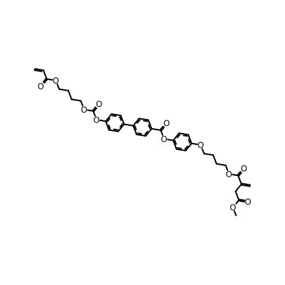 C=CC(=O)OCCCCOC(=O)Oc1ccc(-c2ccc(C(=O)Oc3ccc(OCCCCOC(=O)C(=C)CC(=O)OC)cc3)cc2)cc1